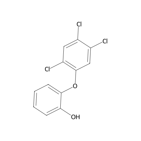 Oc1ccccc1Oc1cc(Cl)c(Cl)cc1Cl